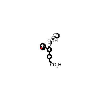 O=C(O)/C=C/c1ccc(-c2ccc(OCC(=O)NOC3CCCCO3)c(C34CCC5CC(CC(C5)C3)C4)c2)cc1